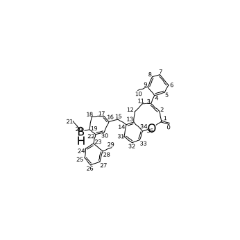 C=C1/C=C(/c2ccccc2C)CCc2c(CC3=CCC(BC)C(c4ccccc4C)=C3)cccc2O1